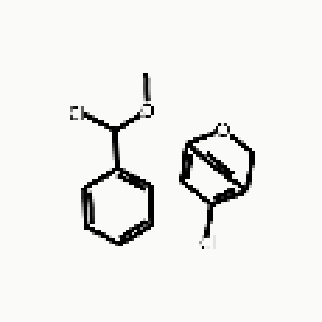 COC(Cl)c1ccccc1.Clc1cc2ccc1CO2